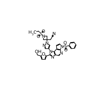 CCS(=O)(=O)N1CC(CC#N)(n2cc(-n3c(-c4ccc(CO)o4)nc4cnc5c(ccn5S(=O)(=O)c5ccccc5)c43)cn2)C1